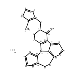 Cc1[nH]cnc1CC1CCc2c(c3cccc4c3n2-c2ccccc2CC4)C1=O.Cl